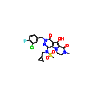 CN1CCn2c(c(O)c3c(=O)n(Cc4ccc(F)c(Cl)c4)nc(N(CC4CC4)S(C)(=O)=O)c32)C1=O